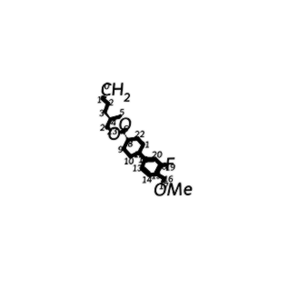 C=CCC[C@H]1CO[C@H](C2CCC(c3ccc(COC)c(F)c3)CC2)OC1